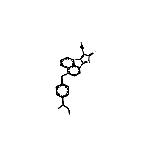 CCC(C)c1ccc(Cc2ccc3c4c(cccc24)C2=C(C#N)C(=O)N=C23)cc1